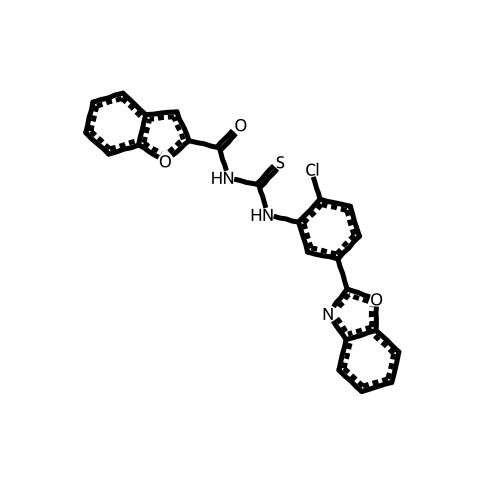 O=C(NC(=S)Nc1cc(-c2nc3ccccc3o2)ccc1Cl)c1cc2ccccc2o1